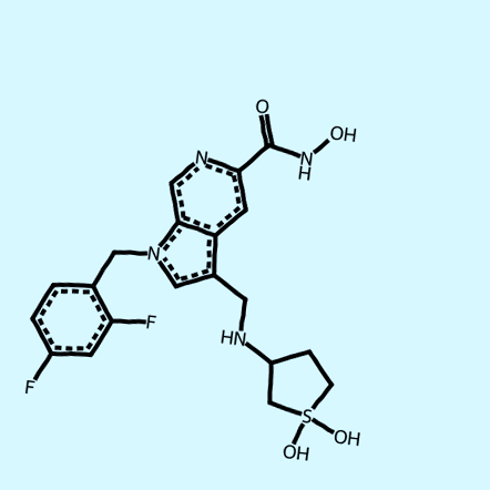 O=C(NO)c1cc2c(CNC3CCS(O)(O)C3)cn(Cc3ccc(F)cc3F)c2cn1